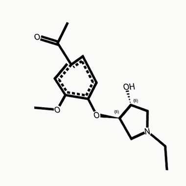 CCN1C[C@@H](O)[C@H](Oc2ccc(C(C)=O)cc2OC)C1